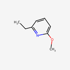 CCc1[c]ccc(OC)n1